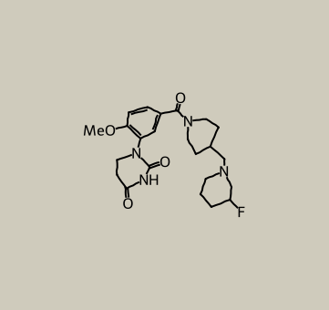 COc1ccc(C(=O)N2CCC(CN3CCCC(F)C3)CC2)cc1N1CCC(=O)NC1=O